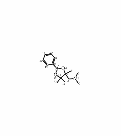 CN(C)CC1(C)OB(c2ccccc2)OC1(C)C